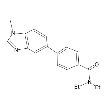 CCN(CC)C(=O)c1ccc(-c2ccc3c(c2)ncn3C)cc1